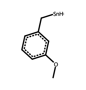 COc1cccc([CH2][SnH])c1